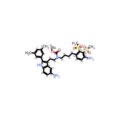 Cc1cc(C)cc(-c2[nH]c3ccc(N)cc3c2CCN(CCCCc2ccc(N)c(S(C)(=O)=O)c2S(C)(=O)=O)C(=O)OC(C)(C)C)c1